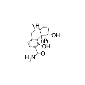 CCC[C@]12C[C@@H](O)C=C[C@H]1[C@H](C)Cc1ccc(C(N)=O)c(O)c12